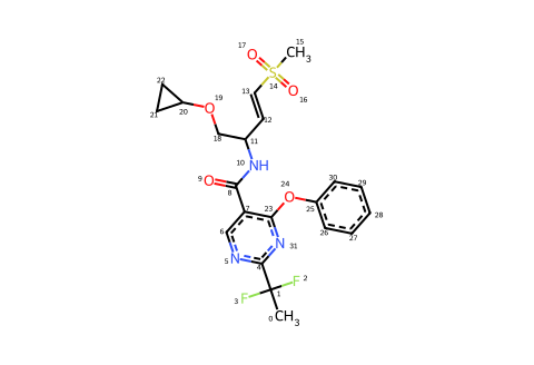 CC(F)(F)c1ncc(C(=O)NC(/C=C/S(C)(=O)=O)COC2CC2)c(Oc2ccccc2)n1